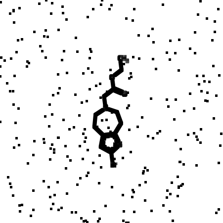 CCOC(=O)CN1CCc2cc(Br)sc2CC1